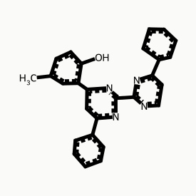 Cc1ccc(O)c(-c2cc(-c3ccccc3)nc(-c3nccc(-c4ccccc4)n3)n2)c1